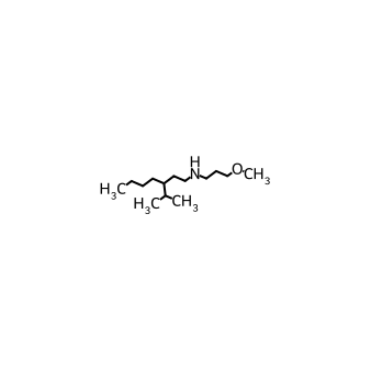 CCCCC(CCNCCCOC)C(C)C